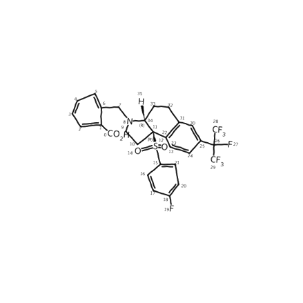 O=C(O)c1ccccc1CN1CC[C@@]2(S(=O)(=O)c3ccc(F)cc3)c3ccc(C(F)(C(F)(F)F)C(F)(F)F)cc3CC[C@@H]12